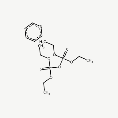 CCOP(=S)(OCC)OP(=S)(OCC)OCC.c1ccncc1